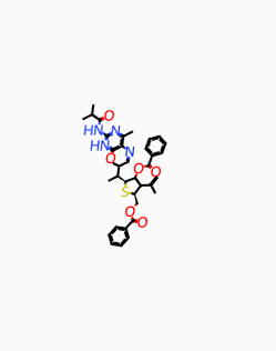 C=C(C)C1C(OC(=O)c2ccccc2)[C@H](C(C)C(C)/C=N\c2c(C)nc(NC(=O)C(C)C)[nH]c2=O)S[C@@H]1COC(=O)c1ccccc1